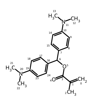 C=C(C)C(=O)OC(c1ccc(N(C)C)cc1)c1ccc(N(C)C)cc1